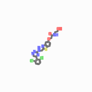 O=C(COc1ccc2sc(CNc3nncc(-c4c(Cl)cccc4Cl)n3)nc2c1)NCCO